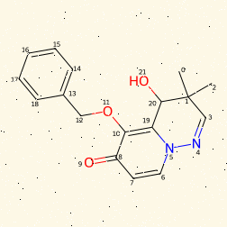 CC1(C)C=Nn2ccc(=O)c(OCc3ccccc3)c2C1O